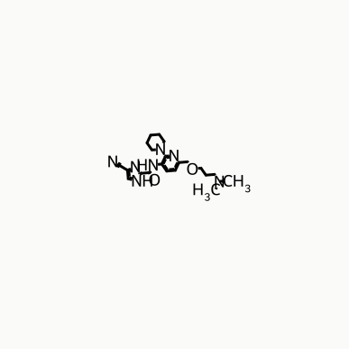 CN(C)CCCOCc1ccc(NC(=O)c2nc(C#N)c[nH]2)c(N2CCCCC2)n1